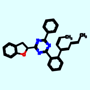 C\C=C/C(=C\C=C\C)c1ccccc1-c1nc(-c2ccccc2)nc(C2Cc3ccccc3O2)n1